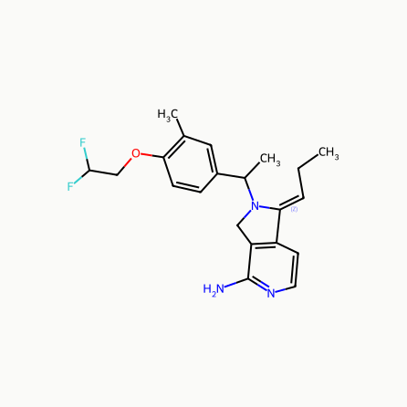 CC/C=C1/c2ccnc(N)c2CN1C(C)c1ccc(OCC(F)F)c(C)c1